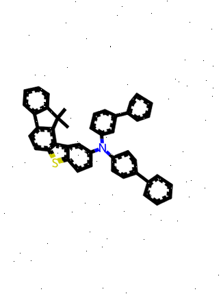 CC1(C)c2ccccc2-c2ccc3sc4ccc(N(c5ccc(-c6ccccc6)cc5)c5cccc(-c6ccccc6)c5)cc4c3c21